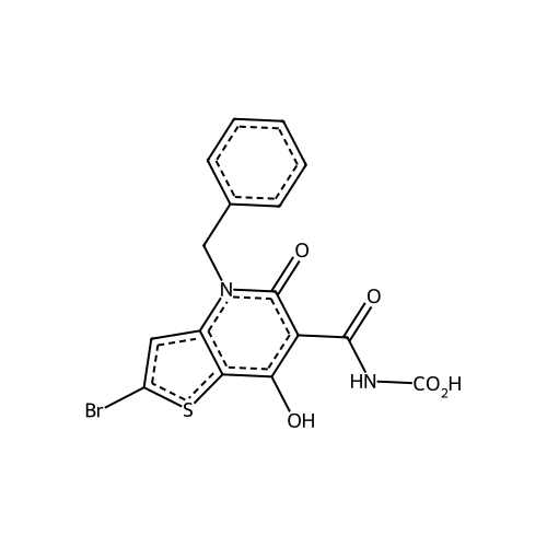 O=C(O)NC(=O)c1c(O)c2sc(Br)cc2n(Cc2ccccc2)c1=O